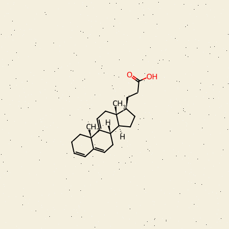 C[C@]12CCC=CC1=CC[C@@H]1C2=CC[C@]2(C)[C@@H](CCC(=O)O)CC[C@@H]12